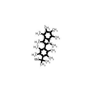 Cc1c(C)c(C(C)(C)C(C)(C)C)c(C)c(C)c1-c1c(C)c2c(C)c(C)c(C)c(C)c2n1C